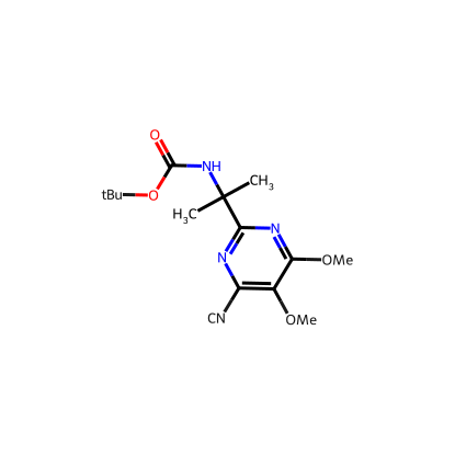 [C-]#[N+]c1nc(C(C)(C)NC(=O)OC(C)(C)C)nc(OC)c1OC